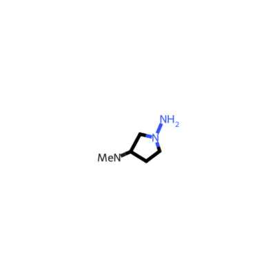 CNC1CCN(N)C1